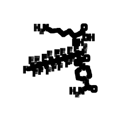 NC(=O)N1CCN(S(=O)(=O)C(F)(F)C(F)(F)C(F)(F)C(F)(F)C(F)(F)C(F)(F)C(F)(F)C(F)(F)F)CC1.NCCCC[C@H](N)C(=O)O